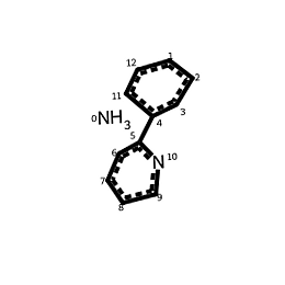 N.c1ccc(-c2ccccn2)cc1